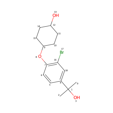 CC(C)(O)c1ccc(OC2CCC(O)CC2)c(Br)c1